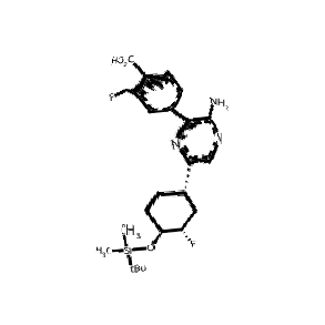 CC(C)(C)[Si](C)(C)O[C@H]1CC[C@H](c2cnc(N)c(-c3ccc(C(=O)O)c(F)c3)n2)C[C@@H]1F